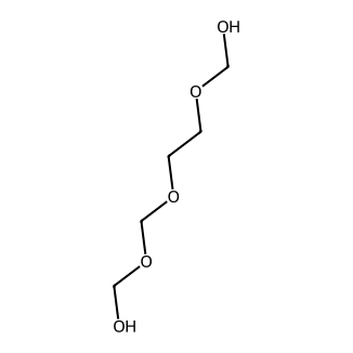 OCOCCOCOCO